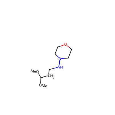 COC(OC)[SiH2]CNN1CCOCC1